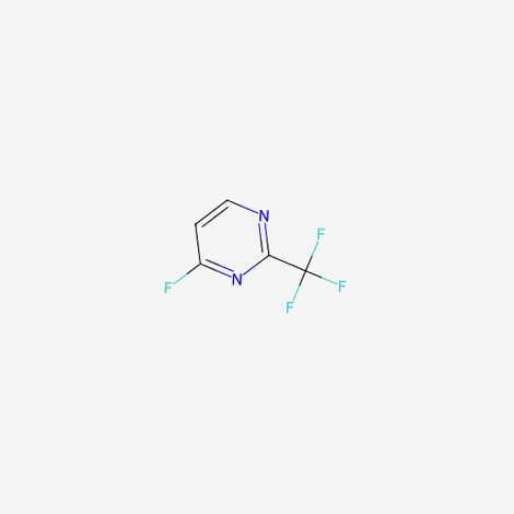 Fc1ccnc(C(F)(F)F)n1